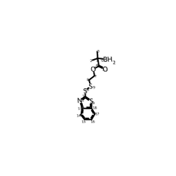 BC(C)(C)C(=O)OCCSSc1nc2ccccc2s1